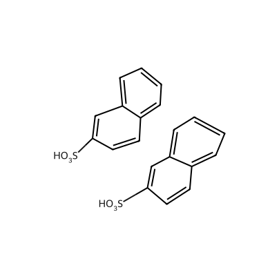 O=S(=O)(O)c1ccc2ccccc2c1.O=S(=O)(O)c1ccc2ccccc2c1